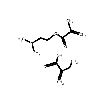 C=C(C)C(=O)OCCN(C)C.C=C(CC)C(=O)O